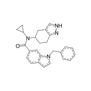 O=C(c1ccc2ccn(Cc3ccccc3)c2c1)N(C1CC1)C1CCc2n[nH]cc2C1